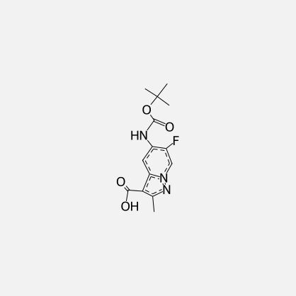 Cc1nn2cc(F)c(NC(=O)OC(C)(C)C)cc2c1C(=O)O